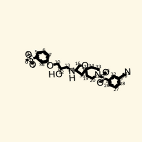 CS(=O)(=O)c1cccc(OC[C@@H](O)CNC2COC3(CCN(S(=O)(=O)c4cccc(C#N)c4)CC3)C2)c1